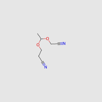 CC(OCC#N)OCCC#N